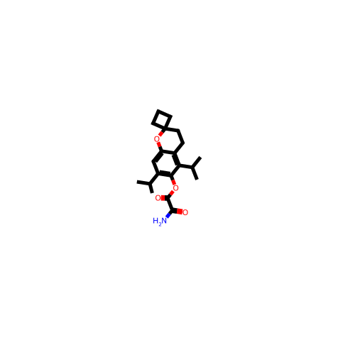 CC(C)c1cc2c(c(C(C)C)c1OC(=O)C(N)=O)CCC1(CCC1)O2